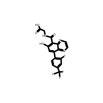 O=C(O)CNC(=O)c1c(O)cc(-c2ccc(C(F)(F)F)cc2F)c2nccnc12